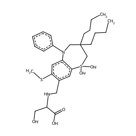 CCCCC1(CCCC)CN(c2ccccc2)c2cc(SC)c(CNC(CO)C(=O)O)cc2S(O)(O)C1